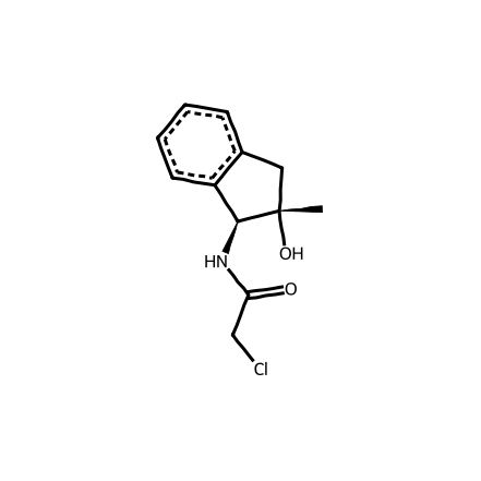 C[C@]1(O)Cc2ccccc2[C@@H]1NC(=O)CCl